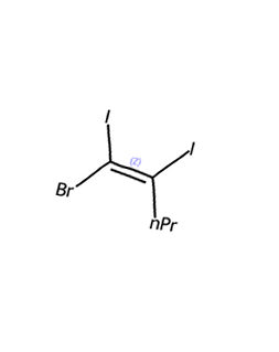 C[CH]C/C(I)=C(\Br)I